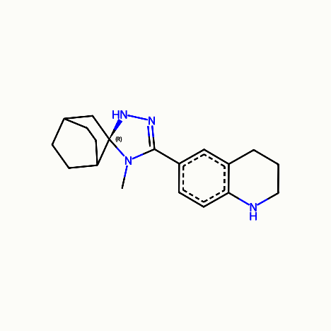 CN1C(c2ccc3c(c2)CCCN3)=NN[C@@]12CC1CCC2CC1